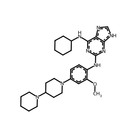 COc1cc(N2CCC(N3CCCCC3)CC2)ccc1Nc1nc(NC2CCCCC2)c2nc[nH]c2n1